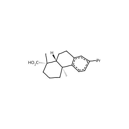 CC(C)c1ccc2c(c1)CC[C@H]1[C@@](C)(C(=O)O)CCC[C@]21C